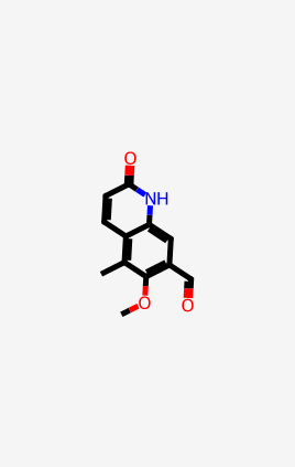 COc1c(C=O)cc2[nH]c(=O)ccc2c1C